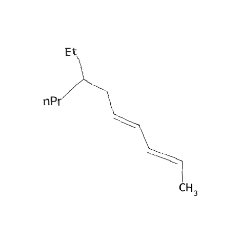 CC=CC=CCC(CC)CCC